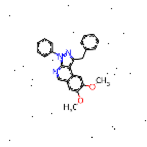 COc1cc2cnc3c(c(Cc4ccccc4)nn3-c3ccccc3)c2cc1OC